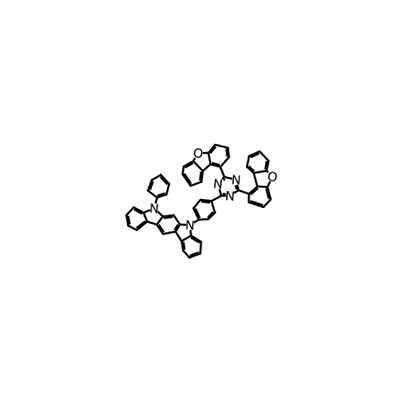 c1ccc(-n2c3ccccc3c3cc4c5ccccc5n(-c5ccc(-c6nc(-c7cccc8oc9ccccc9c78)nc(-c7cccc8oc9ccccc9c78)n6)cc5)c4cc32)cc1